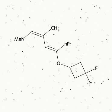 CCC/C(=C\C(C)=C/NC)OC1CC(F)(F)C1